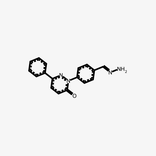 NN=Cc1ccc(-n2nc(-c3ccccc3)ccc2=O)cc1